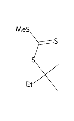 CCC(C)(C)SC(=S)SC